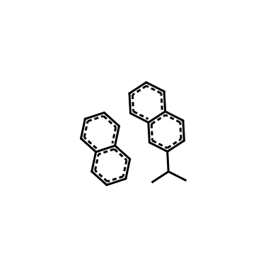 CC(C)c1ccc2ccccc2c1.c1ccc2ccccc2c1